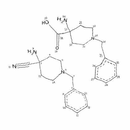 N#CC1(N)CCN(Cc2ccccc2)CC1.NC1(C(=O)O)CCN(Cc2ccccc2)CC1